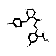 NC(=O)c1cc(Cl)ccc1OCC(=O)N1CCNCC1Cc1ccc(F)cc1